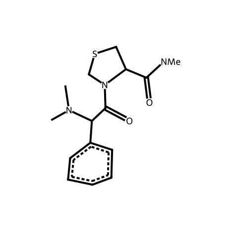 CNC(=O)C1CSCN1C(=O)C(c1ccccc1)N(C)C